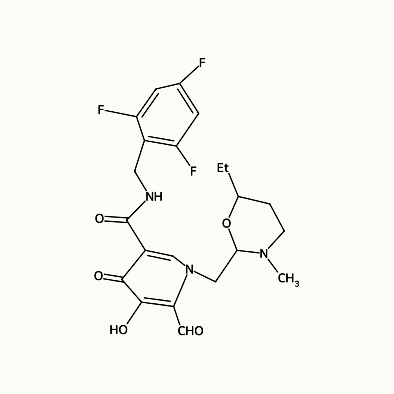 CCC1CCN(C)C(Cn2cc(C(=O)NCc3c(F)cc(F)cc3F)c(=O)c(O)c2C=O)O1